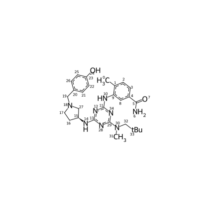 Cc1ccc(C(N)=O)cc1Nc1nc(N[C@H]2CCN(Cc3ccc(O)cc3)C2)nc(N(C)CC(C)(C)C)n1